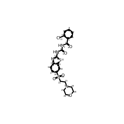 O=C(NC(=O)c1ccccc1Cl)Nc1nc2ccc(S(=O)(=O)CCN3CCOCC3)cc2s1